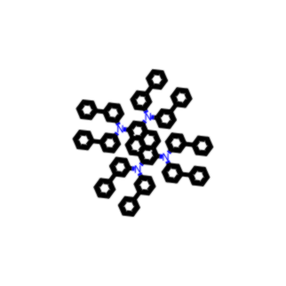 c1ccc(-c2cccc(N(c3cccc(-c4ccccc4)c3)c3cc(N(c4cccc(-c5ccccc5)c4)c4cccc(-c5ccccc5)c4)c4ccc5c(N(c6cccc(-c7ccccc7)c6)c6cccc(-c7ccccc7)c6)cc(N(c6cccc(-c7ccccc7)c6)c6cccc(-c7ccccc7)c6)c6ccc3c4c65)c2)cc1